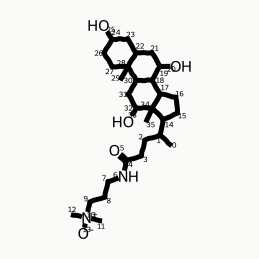 CC(CCC(=O)NCCC[N+](C)(C)[O-])C1CCC2C3C(O)CC4CC(O)CCC4(C)C3CC(O)C12C